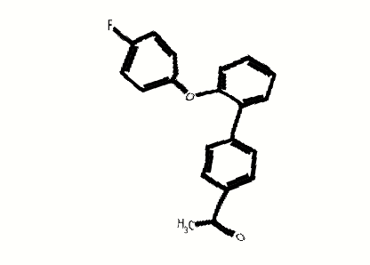 CC(=O)c1ccc(-c2ccccc2Oc2ccc(F)cc2)cc1